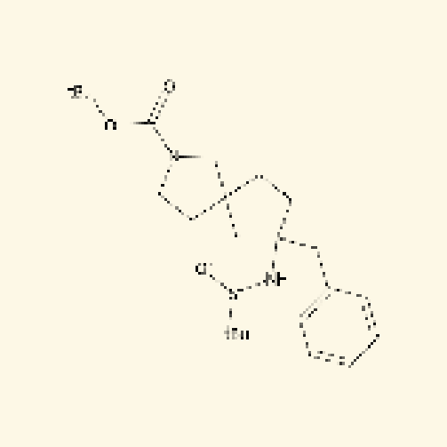 CC(C)(C)OC(=O)N1CCC2(CCC(Cc3ccccc3)(N[S+]([O-])C(C)(C)C)C2)C1